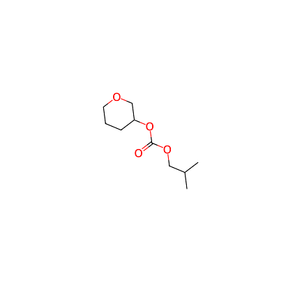 CC(C)COC(=O)OC1CCCOC1